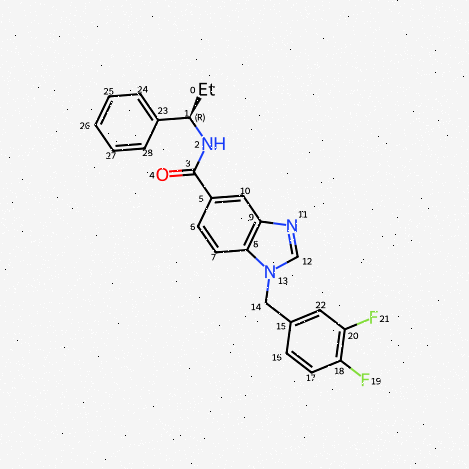 CC[C@@H](NC(=O)c1ccc2c(c1)ncn2Cc1ccc(F)c(F)c1)c1ccccc1